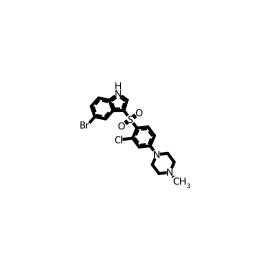 CN1CCN(c2ccc(S(=O)(=O)c3c[nH]c4ccc(Br)cc34)c(Cl)c2)CC1